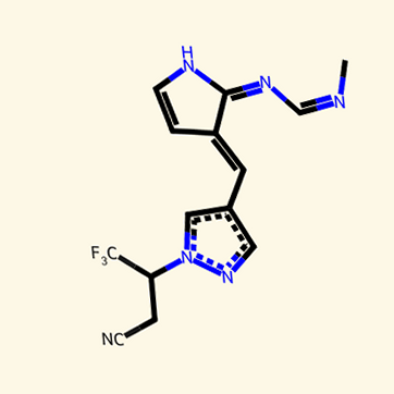 C\N=C/N=C1/NC=C/C1=C\c1cnn(C(CC#N)C(F)(F)F)c1